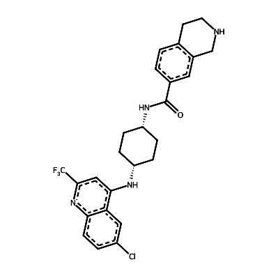 O=C(N[C@H]1CC[C@@H](Nc2cc(C(F)(F)F)nc3ccc(Cl)cc23)CC1)c1ccc2c(c1)CNCC2